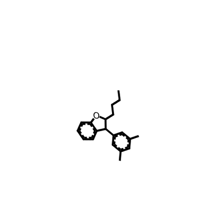 CCCCC1Oc2ccccc2C1c1cc(C)cc(C)c1